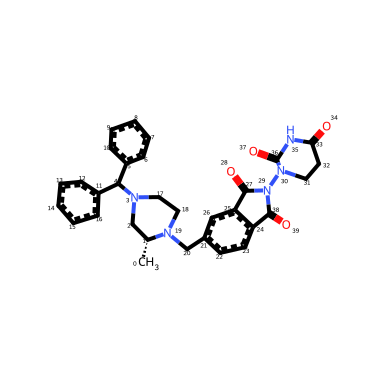 C[C@@H]1CN(C(c2ccccc2)c2ccccc2)CCN1Cc1ccc2c(c1)C(=O)N(N1CCC(=O)NC1=O)C2=O